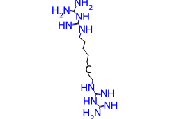 N=C(N)NC(=N)NCCCCCCCCNC(=N)NC(N)N